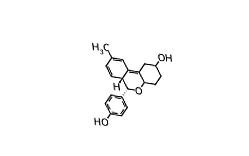 CC1=CC2=C3CC(O)CCC3O[C@H](c3ccc(O)cc3)[C@@H]2C=C1